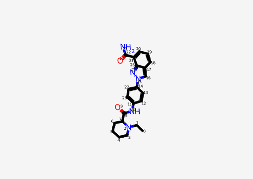 CCN1CCCCC1C(=O)Nc1ccc(-n2cc3cccc(C(N)=O)c3n2)cc1